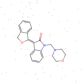 O=C1C(=C2OCc3ccccc32)c2ccccc2N1CN1CCOCC1